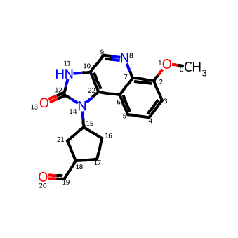 COc1cccc2c1ncc1[nH]c(=O)n(C3CCC(C=O)C3)c12